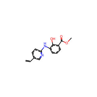 C=Cc1ccc(Nc2cccc(C(=O)OC)c2O)nc1